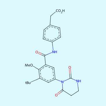 COc1c(C(=O)Nc2ccc(CC(=O)O)cc2)cc(N2C(=O)CCNC2=O)cc1C(C)(C)C